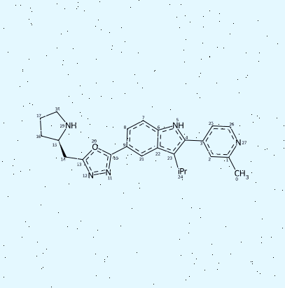 Cc1cc(-c2[nH]c3ccc(-c4nnc(C[C@H]5CCCN5)o4)cc3c2C(C)C)ccn1